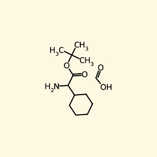 CC(C)(C)OC(=O)C(N)C1CCCCC1.O=CO